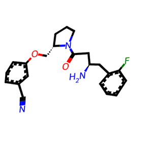 N#Cc1cccc(OC[C@@H]2CCCN2C(=O)C[C@H](N)Cc2ccccc2F)c1